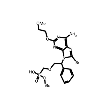 CCC(C)OP(=O)(O)COCC(c1ccccc1)n1c(Br)nc2c(N)nc(OCCOC)nc21